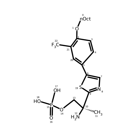 CCCCCCCCOc1ccc(-c2cnc([C@@](C)(N)COP(=O)(O)O)s2)cc1C(F)(F)F